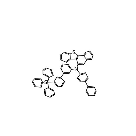 c1ccc(-c2ccc(N(c3cccc(-c4cccc([Si](c5ccccc5)(c5ccccc5)c5ccccc5)c4)c3)c3cc4ccccc4c4sc5ccccc5c34)cc2)cc1